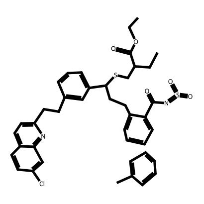 CCOC(=O)C(CC)CSC(CCc1ccccc1C(=O)N=S(=O)=O)c1cccc(CCc2ccc3ccc(Cl)cc3n2)c1.Cc1ccccc1